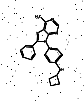 Cc1ncnc2c1nc(-c1ccccc1)n2-c1ccc(NC2CCC2)cc1